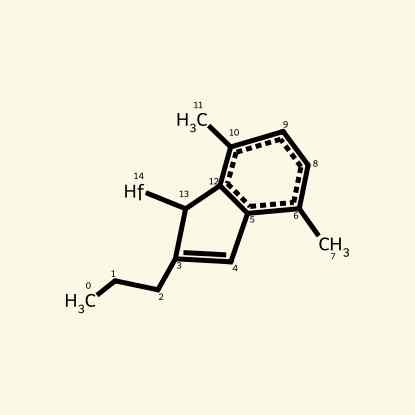 CCCC1=Cc2c(C)ccc(C)c2[CH]1[Hf]